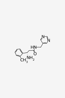 Cc1ccccc1[C@@H](N)CC(=O)NCc1cncnc1